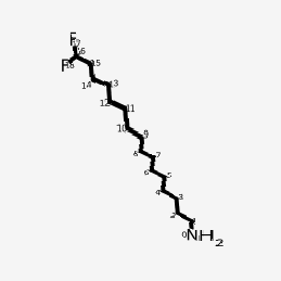 NCCCCCCCCCCCCCCCC(F)F